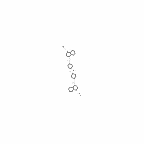 CCCNc1ccc(N=Nc2ccc(S(=O)(=O)c3ccc(N=Nc4ccc(NCCC)c5ccccc45)cc3)cc2)c2ccccc12